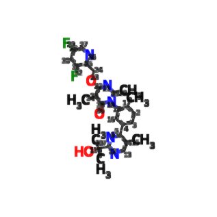 Cc1ccc(-c2nc(C(C)(C)O)ncc2C)cc1-n1c(C)nc(OCc2ncc(F)cc2F)c(C)c1=O